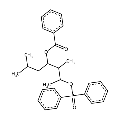 CC(C)CC(OC(=O)c1ccccc1)C(C)C(C)OP(=O)(c1ccccc1)c1ccccc1